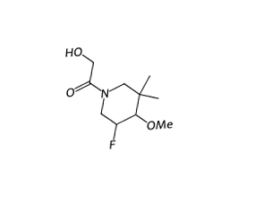 COC1C(F)CN(C(=O)CO)CC1(C)C